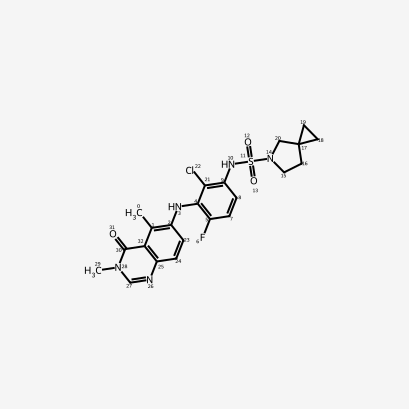 Cc1c(Nc2c(F)ccc(NS(=O)(=O)N3CCC4(CC4)C3)c2Cl)ccc2ncn(C)c(=O)c12